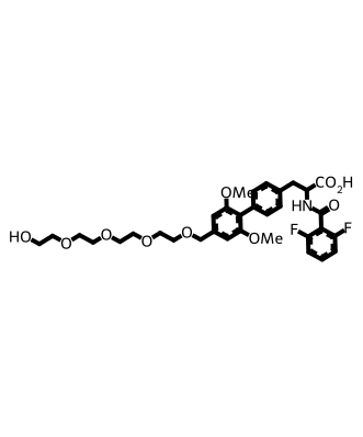 COc1cc(COCCOCCOCCOCCO)cc(OC)c1-c1ccc(CC(NC(=O)c2c(F)cccc2F)C(=O)O)cc1